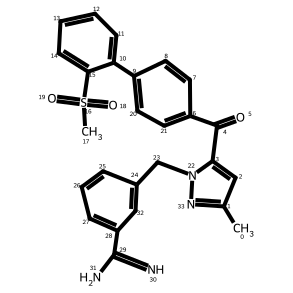 Cc1cc(C(=O)c2ccc(-c3ccccc3S(C)(=O)=O)cc2)n(Cc2cccc(C(=N)N)c2)n1